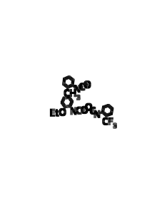 CCOc1ccccc1N=C=O.Cc1ccccc1N=C=O.O=C=Nc1ccccc1C(F)(F)F